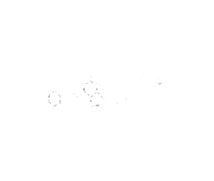 O=P(O)(O)CP(=O)(O)OC[C@H]1O[C@@H](n2nnc3c(NCc4ccccc4Cl)nc(Cl)nc32)C[C@@H]1O